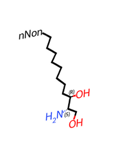 CCCCCCCCCCCCCCCCC[C@@H](O)[C@@H](N)CO